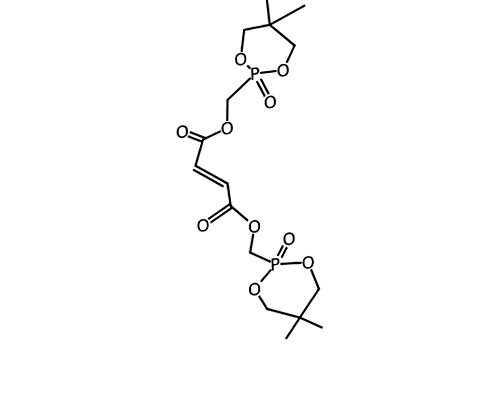 CC1(C)COP(=O)(COC(=O)C=CC(=O)OCP2(=O)OCC(C)(C)CO2)OC1